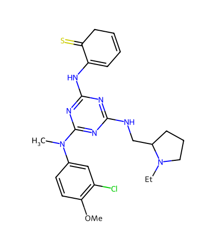 CCN1CCCC1CNc1nc(NC2=CC=CCC2=S)nc(N(C)c2ccc(OC)c(Cl)c2)n1